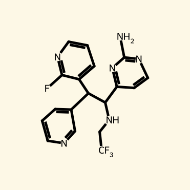 Nc1nccc(C(NCC(F)(F)F)C(c2cccnc2)c2cccnc2F)n1